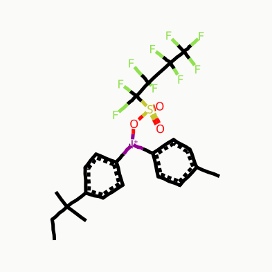 CCC(C)(C)c1ccc([I+](OS(=O)(=O)C(F)(F)C(F)(F)C(F)(F)C(F)(F)F)c2ccc(C)cc2)cc1